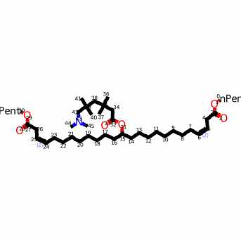 CCCCCOC(=O)C/C=C\CCCCCCCCC(CCCCCCCC/C=C\CC(=O)OCCCCC)OC(=O)CC(C)(C)CC(C)(C)CN(C)C